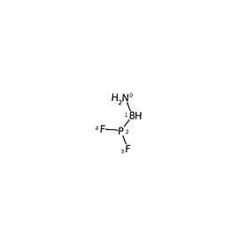 NBP(F)F